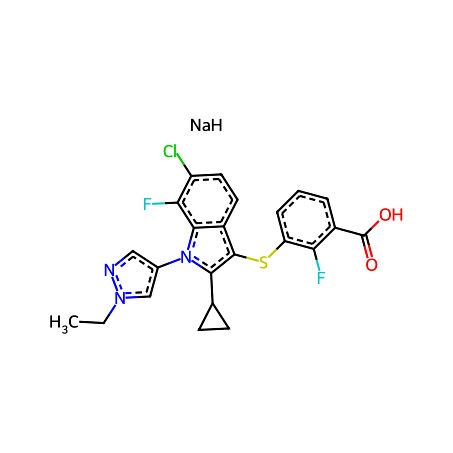 CCn1cc(-n2c(C3CC3)c(Sc3cccc(C(=O)O)c3F)c3ccc(Cl)c(F)c32)cn1.[NaH]